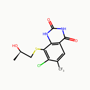 C[C@@H](O)CSc1c(Cl)c(C(F)(F)F)cc2c(=O)[nH]c(=O)[nH]c12